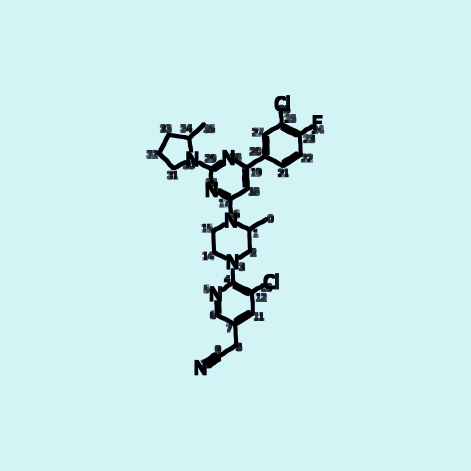 CC1CN(c2ncc(CC#N)cc2Cl)CCN1c1cc(-c2ccc(F)c(Cl)c2)nc(N2CCCC2C)n1